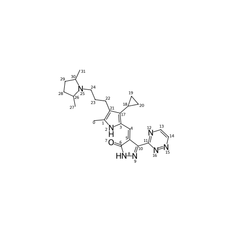 Cc1[nH]c(C=C2C(=O)NN=C2c2nccnn2)c(C2CC2)c1CCCN1C(C)CCC1C